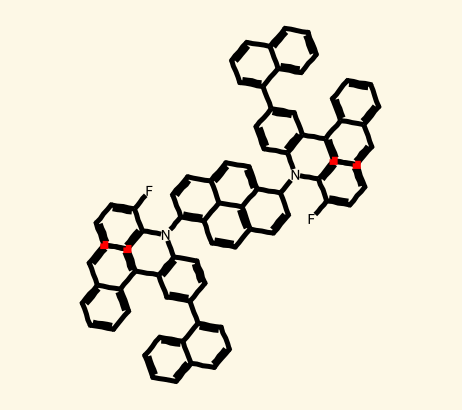 Fc1ccccc1N(C1=C2C=CC3=C4C(=CC=C(C=C1)C24)C(N(c1ccccc1F)c1ccc(-c2cccc4ccccc24)cc1-c1cccc2ccccc12)C=C3)c1ccc(-c2cccc3ccccc23)cc1-c1cccc2ccccc12